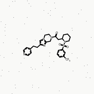 O=C(CC1CCCCN1S(=O)(=O)c1cccc(C(F)(F)F)c1)N1CCn2cc(CCc3ccncc3)nc2C1